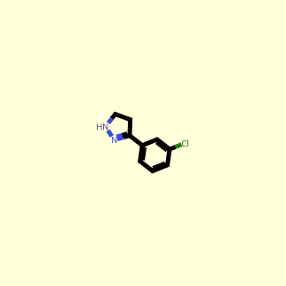 Clc1cccc(C2=NNCC2)c1